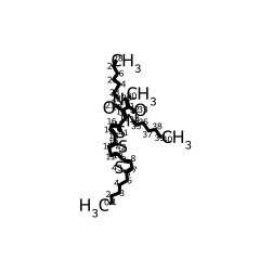 CCCCCCc1ccc(-c2ccc(-c3ccc(C4=C5C(=O)N(CCCCCC)C(C)=C5C(=O)N4CCCCCC)s3)s2)s1